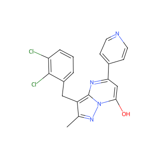 Cc1nn2c(O)cc(-c3ccncc3)nc2c1Cc1cccc(Cl)c1Cl